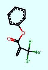 C=C(C(=O)Oc1ccccc1)C(Br)(Br)Br